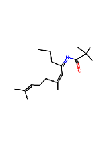 CCCC(/C=C(/C)CCC=C(C)C)=N/C(=O)C(C)(C)C